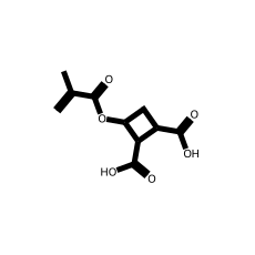 C=C(C)C(=O)OC1CC(C(=O)O)C1C(=O)O